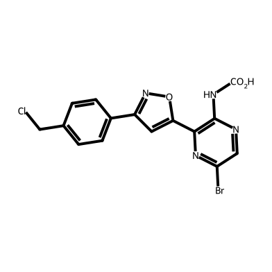 O=C(O)Nc1ncc(Br)nc1-c1cc(-c2ccc(CCl)cc2)no1